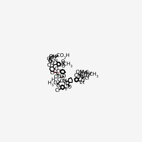 C#CC(C)Oc1cc(N2C(=O)C3=C(CCCC3)C2=O)c(F)cc1Cl.CC1COc2ccccc2N1C(=O)C(Cl)Cl.CCc1cccc(C)c1N(C(=O)CCl)C(C)COC.CS(=O)(=O)c1ccc(C(=O)C2C(=O)CCCC2=O)c([N+](=O)[O-])c1.C[S+](C)C.O=C(O)CNCP(=O)([O-])O